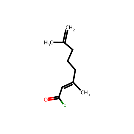 C=C(C)CCCC(C)=CC(=O)F